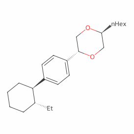 CCCCCC[C@H]1CO[C@H](c2ccc([C@@H]3CCCC[C@H]3CC)cc2)CO1